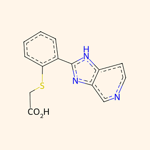 O=C(O)CSc1ccccc1-c1nc2cnccc2[nH]1